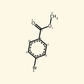 COC(=O)c1c[c]c(Br)cc1